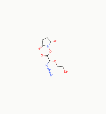 [N-]=[N+]=NC(OCCO)C(=O)ON1C(=O)CCC1=O